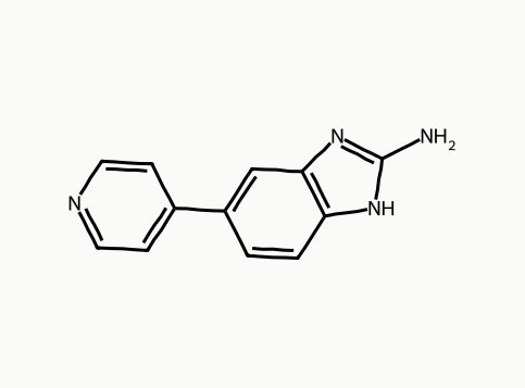 Nc1nc2cc(-c3ccncc3)ccc2[nH]1